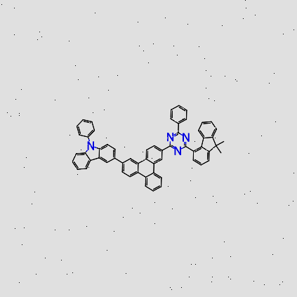 CC1(C)c2ccccc2-c2c(-c3nc(-c4ccccc4)nc(-c4ccc5c6cc(-c7ccc8c(c7)c7ccccc7n8-c7ccccc7)ccc6c6ccccc6c5c4)n3)cccc21